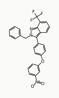 O=[N+]([O-])c1cccc(Oc2ccc(-c3c4cccc(C(F)(F)F)c4nn3Cc3ccccc3)cc2)c1